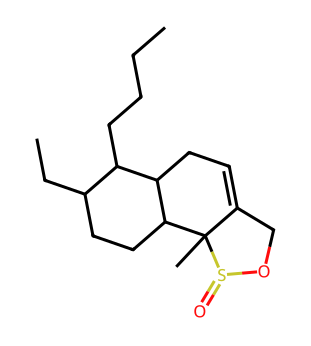 CCCCC1C(CC)CCC2C1CC=C1COS(=O)C12C